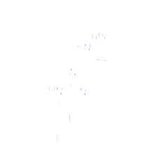 CCCN(C)c1cccc2nc(Nc3c(C)cc(C)cc3C)n(C)c12